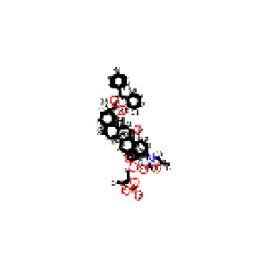 Cc1oc(=O)oc1COC(=O)[C@]1(C)[C@@H](N2C[C@@H](C)OC2=O)CC[C@@]2(C)[C@H]1CC[C@]1(C)[C@@H]2C(=O)C=C2[C@@H]3C[C@@](C)(C(=O)OC(c4ccccc4)c4ccccc4)CC[C@]3(C)CC[C@]21C